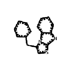 c1ccc(Cc2csc3nc4ccccc4n23)cc1